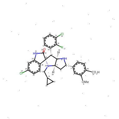 COc1cc([C@@H]2C[C@@H]3[C@H](N2)[C@@H](c2cccc(Cl)c2F)[C@@]2(C(=O)Nc4cc(Cl)ccc42)N3CC2CC2)ccc1C(=O)O